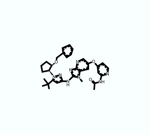 CC(=O)Nc1cc(Oc2cnc3nc(Nc4cc(C(C)(C)C)n([C@H]5CCC[C@H]5OCc5ccccc5)n4)n(C)c3c2)ccn1